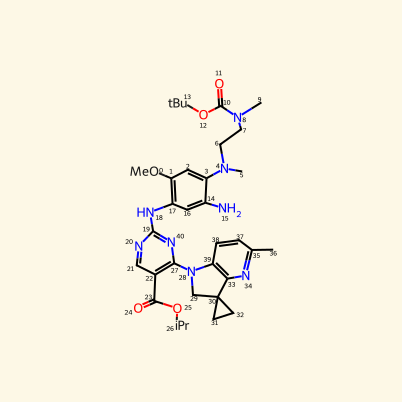 COc1cc(N(C)CCN(C)C(=O)OC(C)(C)C)c(N)cc1Nc1ncc(C(=O)OC(C)C)c(N2CC3(CC3)c3nc(C)ccc32)n1